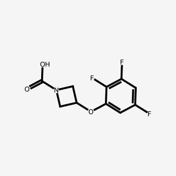 O=C(O)N1CC(Oc2cc(F)cc(F)c2F)C1